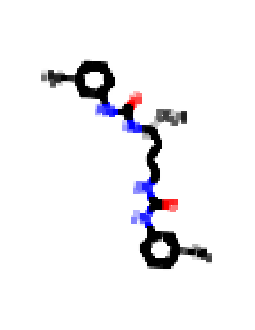 Cc1cccc(NC(=O)NCCC[C@H](NC(=O)Nc2cccc(C)c2)C(=O)O)c1